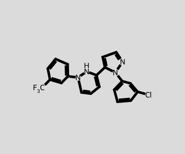 FC(F)(F)c1cccc(N2C=CC=C(c3ccnn3-c3cccc(Cl)c3)N2)c1